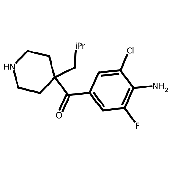 CC(C)CC1(C(=O)c2cc(F)c(N)c(Cl)c2)CCNCC1